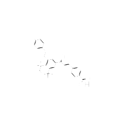 CC1(C)CCC(C)(C)c2c(CCc3ccc(F)cc3)cc(C(=O)C=Cc3ccc(C(=O)O)cc3)cc21